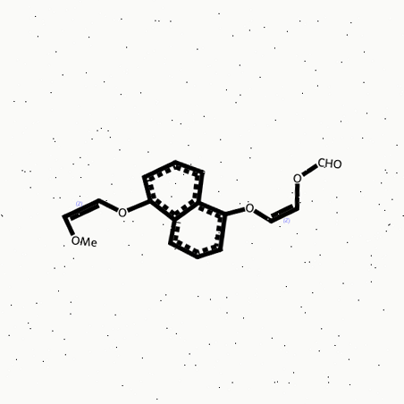 CO/C=C\Oc1cccc2c(O/C=C\OC=O)cccc12